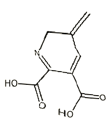 C=C1C=C(C(=O)O)C(C(=O)O)=NC1